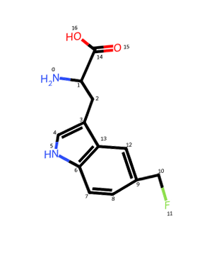 NC(Cc1c[nH]c2ccc(CF)cc12)C(=O)O